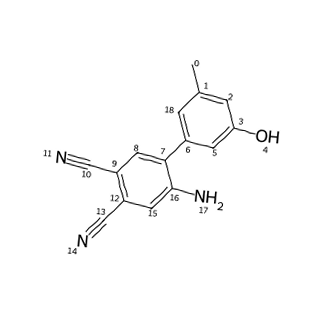 Cc1cc(O)cc(-c2cc(C#N)c(C#N)cc2N)c1